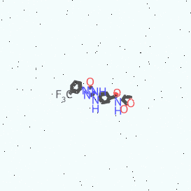 O=C(N[C@@H]1CCOC1=O)c1ccc(Nc2nn(-c3cccc(C(F)(F)F)c3)c(=O)[nH]2)cc1